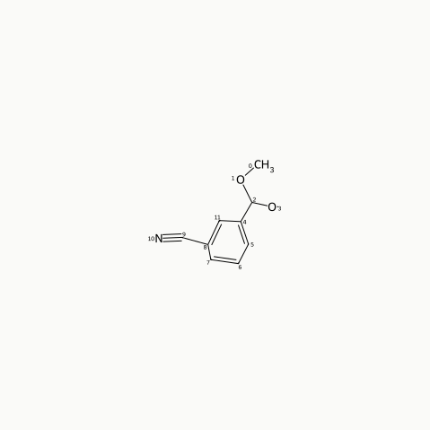 COC([O])c1cccc(C#N)c1